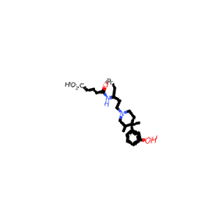 CC(C)CC(CCN1CCC(C)(c2cccc(O)c2)C(C)C1)NC(=O)CCCC(=O)O